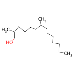 CCCCCCCC(C)CCCCC(C)CO